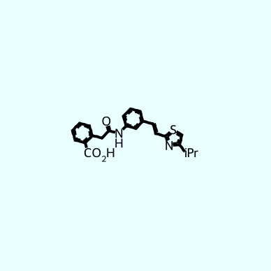 CC(C)c1csc(C=Cc2cccc(NC(=O)Cc3ccccc3C(=O)O)c2)n1